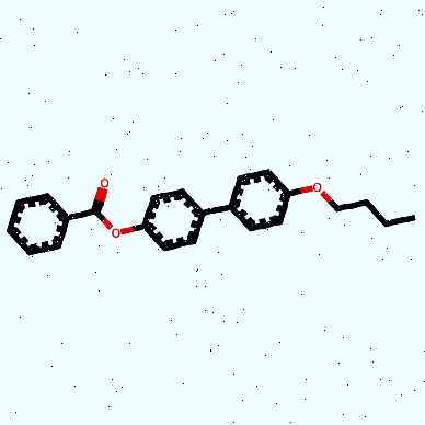 CCCCOc1ccc(-c2ccc(OC(=O)c3ccccc3)cc2)cc1